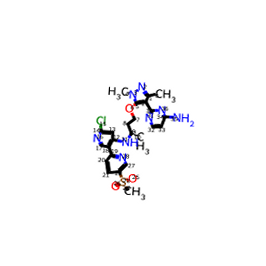 Cc1nn(C)c(OCC[C@H](C)Nc2cc(Cl)ncc2-c2ccc(S(C)(=O)=O)cn2)c1-c1nccc(N)n1